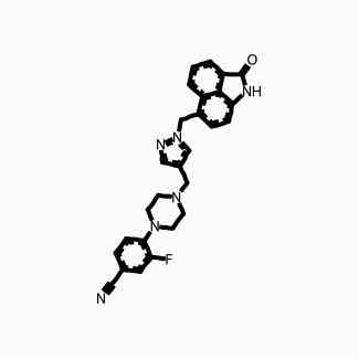 N#Cc1ccc(N2CCN(Cc3cnn(Cc4ccc5c6c(cccc46)C(=O)N5)c3)CC2)c(F)c1